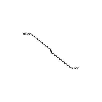 CCCCCCCCCCCCCCCCCCCCCCCCCC#CCCCCCCCCCCCCCCCCCCCCCCCCC